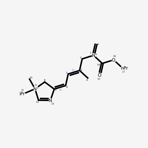 C=[N+](C/C(C)=C/C=C1\C[N+](C)(C(C)C)C=N1)C(=O)OCCC